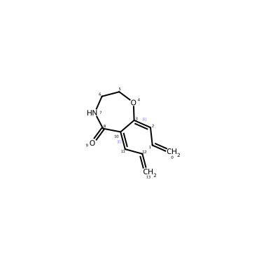 C=C/C=C1/OCCNC(=O)/C1=C/C=C